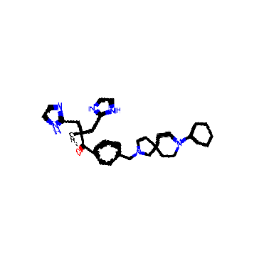 CC(Cc1ncc[nH]1)(Cc1ncc[nH]1)C(=O)c1ccc(CN2CCC3(CCN(C4CCCCC4)CC3)C2)cc1